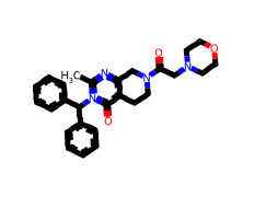 Cc1nc2c(c(=O)n1C(c1ccccc1)c1ccccc1)CCN(C(=O)CN1CCOCC1)C2